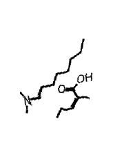 CCC=C(C)C(=O)O.CCCCCCCCN(C)C